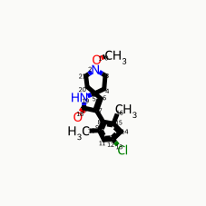 CON1CCC2([C]=C(c3c(C)cc(Cl)cc3C)C(=O)N2)CC1